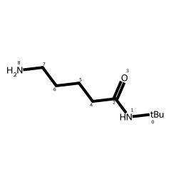 CC(C)(C)NC(=O)CCCCN